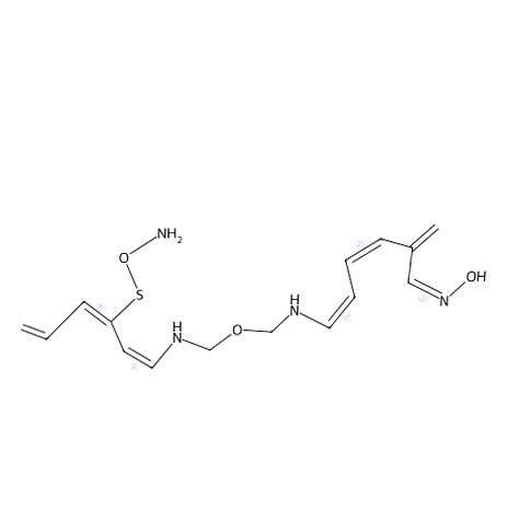 C=C/C=C(\C=C/NCOCN/C=C\C=C/C(=C)/C=N\O)SON